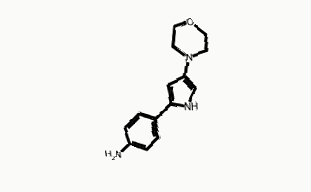 Nc1ccc(-c2cc(N3CCOCC3)c[nH]2)cc1